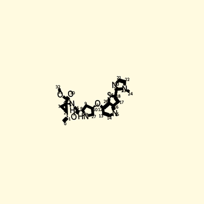 C=C[C@@H]1C[C@]1(NC(=O)[C@@H]1C[C@@H](Oc2ccnc3cc(-c4nccn4C)sc23)CN1)C(=O)OC